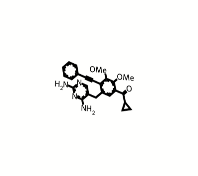 COc1c(C(=O)C2CC2)cc(Cc2cnc(N)nc2N)c(C#Cc2ccccc2)c1OC